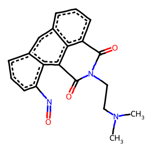 CN(C)CCN1C(=O)c2cccc3cc4cccc(N=O)c4c(c23)C1=O